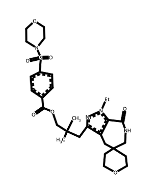 CCn1nc(CC(C)(C)COC(=O)c2ccc(S(=O)(=O)N3CCOCC3)cc2)c2c1C(=O)NCC1(CCOCC1)C2